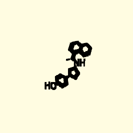 C[C@@H](N[C@H]1CC[C@@H](c2ccc(O)cc2)C1)C1=C2C=CCCC2CC=C1